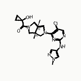 Cn1cc(Nc2ncc(Cl)c(N3C[C@]4(C)CN(C(=O)C5(O)CC5)C[C@]4(C)C3)n2)cn1